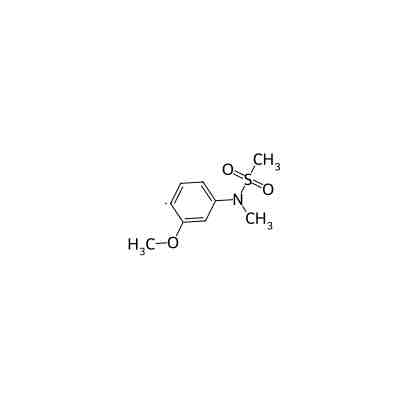 COc1[c]ccc(N(C)S(C)(=O)=O)c1